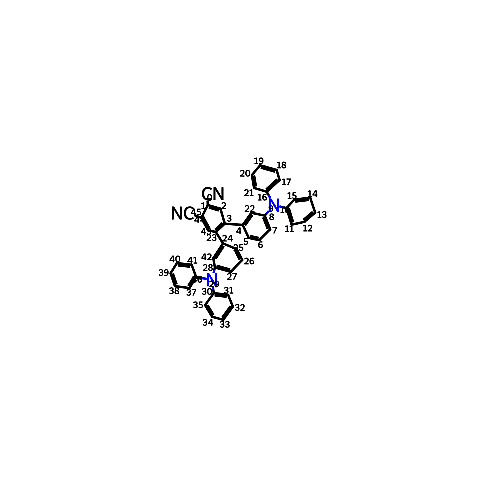 N#Cc1cc(-c2cccc(N(c3ccccc3)c3ccccc3)c2)c(-c2cccc(N(c3ccccc3)c3ccccc3)c2)cc1C#N